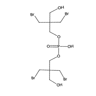 O=P(O)(OCC(CO)(CBr)CBr)OCC(CO)(CBr)CBr